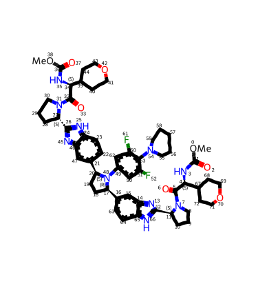 COC(=O)N[C@H](C(=O)N1CCC[C@H]1c1nc2cc([C@H]3CC[C@@H](c4ccc5[nH]c([C@@H]6CCCN6C(=O)[C@@H](NC(=O)OC)C6CCOCC6)nc5c4)N3c3cc(F)c(N4CCCCC4)c(F)c3)ccc2[nH]1)C1CCOCC1